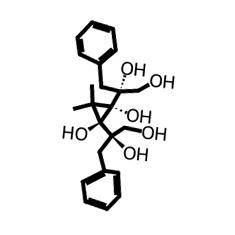 CC1(C)[C@@](O)([C@](O)(CO)Cc2ccccc2)[C@]1(O)[C@](O)(CO)Cc1ccccc1